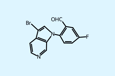 O=Cc1cc(F)ccc1-n1cc(Br)c2ccncc21